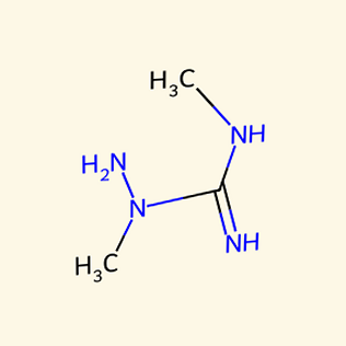 CNC(=N)N(C)N